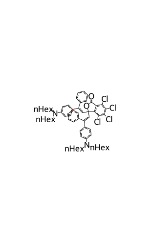 CCCCCCN(CCCCCC)c1ccc(C(=CC2(C=C(c3ccccc3)c3ccc(N(CCCCCC)CCCCCC)cc3)OC(=O)c3c(Cl)c(Cl)c(Cl)c(Cl)c32)c2ccccc2)cc1